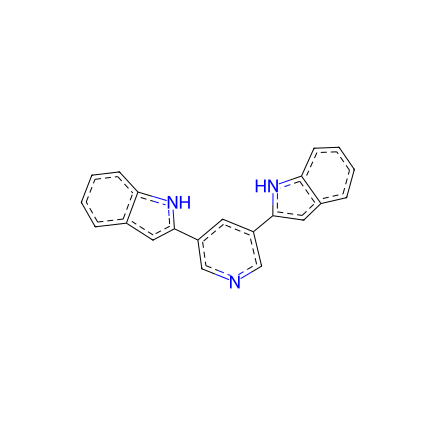 c1ccc2[nH]c(-c3cncc(-c4cc5ccccc5[nH]4)c3)cc2c1